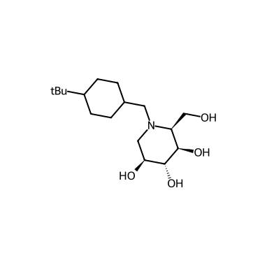 CC(C)(C)C1CCC(CN2C[C@H](O)[C@@H](O)[C@H](O)[C@@H]2CO)CC1